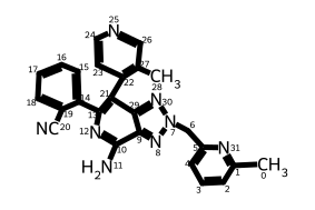 Cc1cccc(Cn2nc3c(N)nc(-c4ccccc4C#N)c(-c4ccncc4C)c3n2)n1